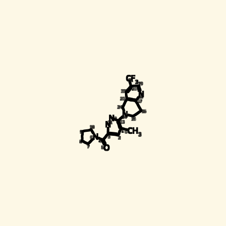 Cc1cc(C(=O)N2CCCC2)nnc1N1CCc2ncc(C(F)(F)F)cc2C1